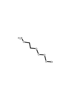 CCOOOOCCON